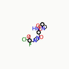 COc1cc(CN2CCN(C(=O)c3ccc(NS(=O)(=O)c4cccc5c4N=CCC5)cc3)CC2)c(F)cc1Cl